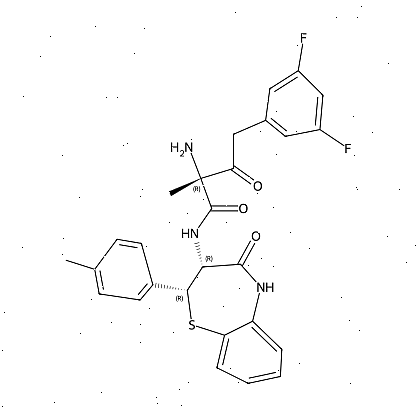 Cc1ccc([C@H]2Sc3ccccc3NC(=O)[C@H]2NC(=O)[C@](C)(N)C(=O)Cc2cc(F)cc(F)c2)cc1